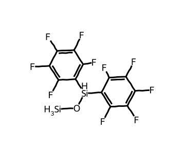 Fc1c(F)c(F)c([SiH](O[SiH3])c2c(F)c(F)c(F)c(F)c2F)c(F)c1F